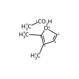 CC(=O)O.Cc1ccoc1C